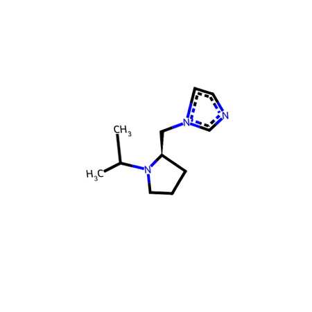 CC(C)N1CCC[C@@H]1Cn1ccnc1